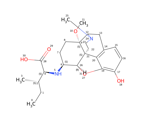 CC[C@H](C)[C@H](N[C@H]1CC[C@@]2(OC)C3Cc4ccc(O)c5c4[C@@]2(CCN3C)[C@H]1O5)C(=O)O